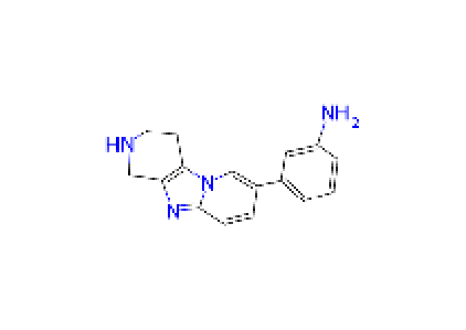 Nc1cccc(-c2ccc3nc4c(n3c2)CCNC4)c1